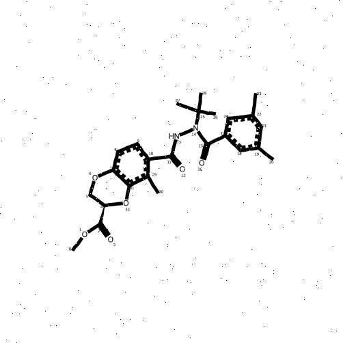 COC(=O)[C@H]1COc2ccc(C(=O)NN(C(=O)c3cc(C)cc(C)c3)C(C)(C)C)c(C)c2O1